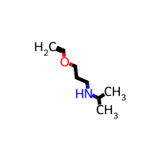 C=COCCCNC(C)C